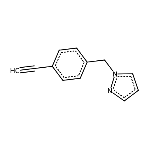 C#Cc1ccc(Cn2cccn2)cc1